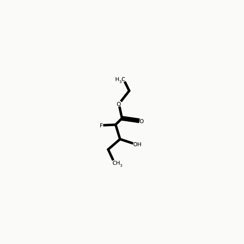 CCOC(=O)C(F)C(O)CC